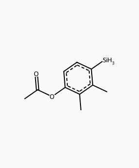 CC(=O)Oc1ccc([SiH3])c(C)c1C